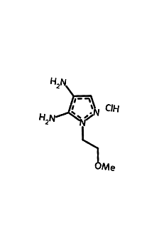 COCCn1ncc(N)c1N.Cl